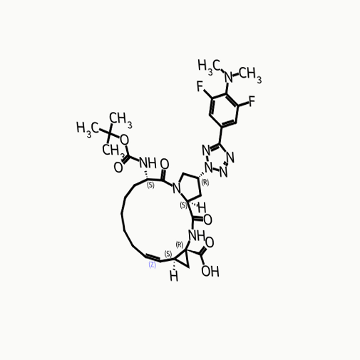 CN(C)c1c(F)cc(-c2nnn([C@@H]3C[C@H]4C(=O)N[C@]5(C(=O)O)C[C@H]5/C=C\CCCCC[C@H](NC(=O)OC(C)(C)C)C(=O)N4C3)n2)cc1F